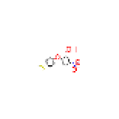 CSc1ccc(Oc2ccc([N+](=O)[O-])cc2CO)cc1C